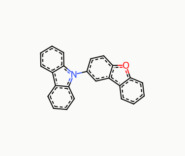 c1ccc2c(c1)oc1ccc(-n3c4ccccc4c4ccccc43)cc12